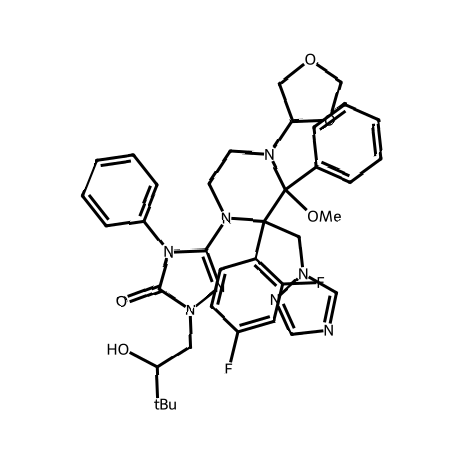 COC1(c2ccccc2)N(C2COCO2)CCN(c2nn(CC(O)C(C)(C)C)c(=O)n2-c2ccccc2)C1(Cn1cncn1)c1ccc(F)cc1F